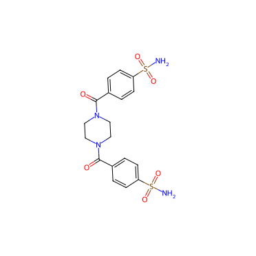 NS(=O)(=O)c1ccc(C(=O)N2CCN(C(=O)c3ccc(S(N)(=O)=O)cc3)CC2)cc1